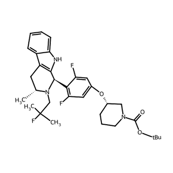 C[C@@H]1Cc2c([nH]c3ccccc23)[C@@H](c2c(F)cc(O[C@H]3CCCN(C(=O)OC(C)(C)C)C3)cc2F)N1CC(C)(C)F